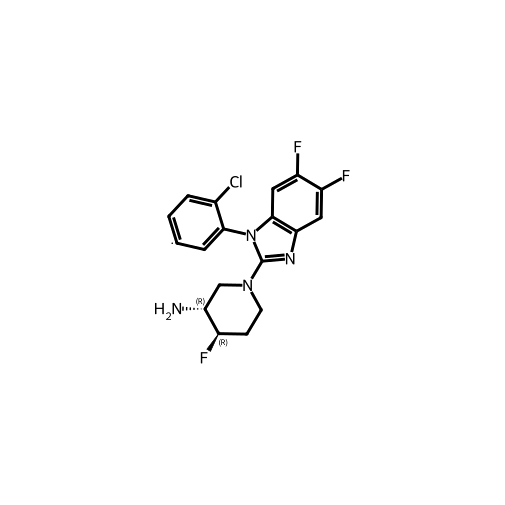 N[C@@H]1CN(c2nc3cc(F)c(F)cc3n2-c2c[c]ccc2Cl)CC[C@H]1F